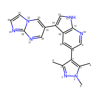 Cc1nn(C)c(C)c1-c1cnc2[nH]cc(-c3cnc4nccn4c3)c2c1